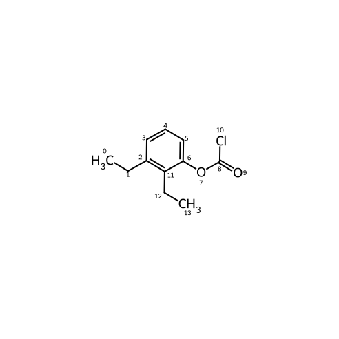 CCc1cccc(OC(=O)Cl)c1CC